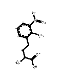 Cc1c(CCC(C)C(=O)O)cccc1[N+](=O)[O-]